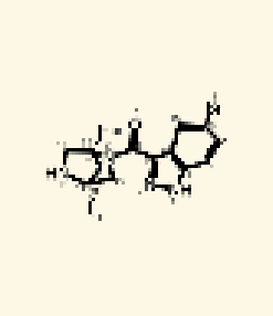 O=C(c1n[nH]c2ccc(Br)cc12)N1C[C@@H]2C[C@H]1CN2